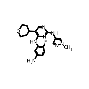 Cn1cc(Nc2ncc(C3CCOCC3)c(Nc3cc(N)ccc3F)n2)cn1